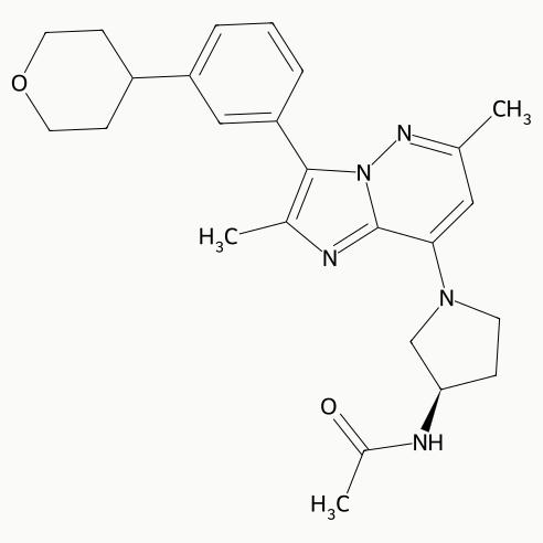 CC(=O)N[C@@H]1CCN(c2cc(C)nn3c(-c4cccc(C5CCOCC5)c4)c(C)nc23)C1